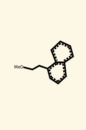 COCCc1cc[c]c2ccccc12